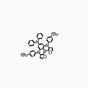 CC(C)(C)c1ccc(N2c3ccoc3B3c4occc4N(c4ccc(C(C)(C)C)cc4)c4cc(N(c5ccccc5)c5ccccc5)cc2c43)cc1